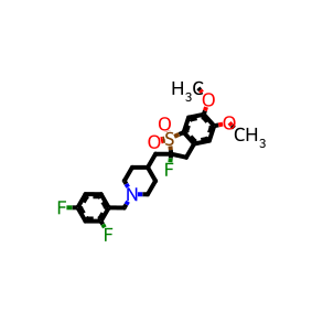 COc1cc2c(cc1OC)S(=O)(=O)C(F)(CC1CCN(Cc3ccc(F)cc3F)CC1)C2